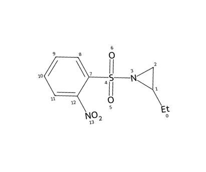 CCC1CN1S(=O)(=O)c1ccccc1[N+](=O)[O-]